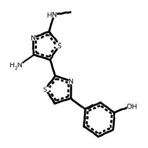 CNc1nc(N)c(-c2nc(-c3cccc(O)c3)cs2)s1